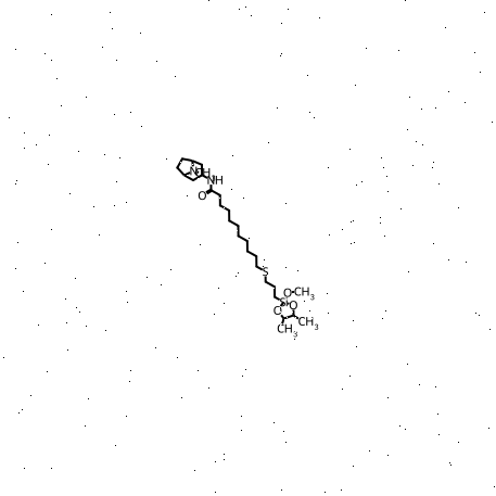 CO[Si]1(CCCSCCCCCCCCCCC(=O)NC2CC3CCC(C2)N3C)OC(C)C(C)O1